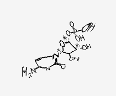 Nc1ccn([C@@H]2O[C@H](OP(=O)(O)O)[C@H](O)C2O)c(=O)n1